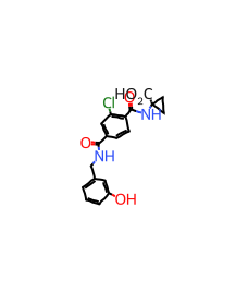 O=C(NCc1cccc(O)c1)c1ccc(C(=O)NC2(C(=O)O)CC2)c(Cl)c1